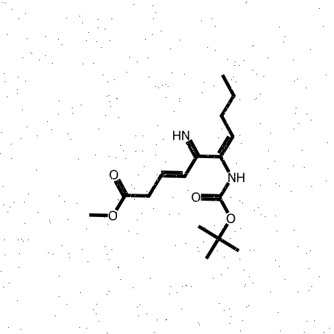 CCC/C=C(/NC(=O)OC(C)(C)C)C(=N)/C=C/CC(=O)OC